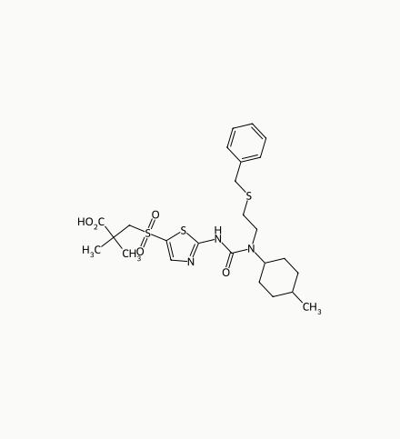 CC1CCC(N(CCSCc2ccccc2)C(=O)Nc2ncc(S(=O)(=O)CC(C)(C)C(=O)O)s2)CC1